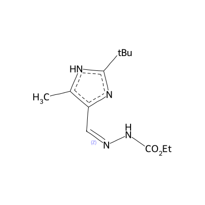 CCOC(=O)N/N=C\c1nc(C(C)(C)C)[nH]c1C